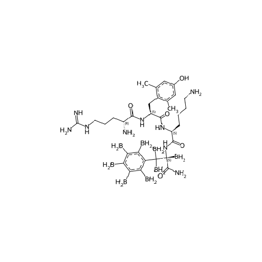 Bc1c(B)c(B)c(C(B)(B)[C@](B)(NC(=O)[C@H](CCCCN)NC(=O)[C@H](Cc2c(C)cc(O)cc2C)NC(=O)[C@H](N)CCCNC(=N)N)C(N)=O)c(B)c1B